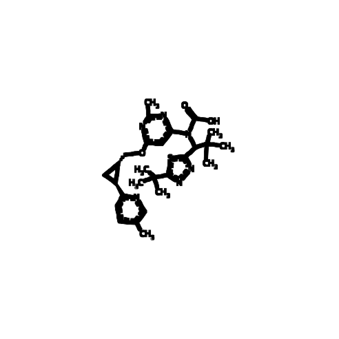 Cc1ccc([C@H]2C[C@@H]2COc2cc(N(C(=O)O)C(c3nnc(C(C)(C)C)s3)C(C)(C)C)nc(C)n2)nc1